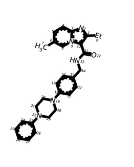 CCc1nc2ccc(C)cn2c1C(=O)NCc1ccc(N2CCN(c3ccccc3)CC2)cc1